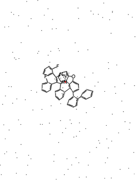 Fc1ccccc1-c1nnnc(-c2ccccc2-c2c(-c3ccccc3-c3ccccc3)ccc3oc4ccccc4c23)c1-c1ccccc1F